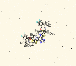 [C-]#[N+]C([N+]#[C-])=C1/C(=C/c2sc3c(sc4c5c6nsnc6c6c7sc8c(CCCCCCCCCCC)c(/C=C9\C(=O)c%10cc(F)c(F)cc%10C9=C(C#N)C#N)sc8c7n(CC(CC)CCCC)c6c5n(CC(CC)CCCC)c34)c2CCCCCCCCCCC)C(=O)c2cc(F)c(F)cc21